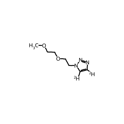 [2H]c1nnn(CCOCCOC)c1[2H]